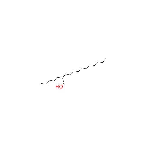 CCCCCCCCCCCC(CO)CCCCC